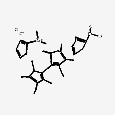 CC1=C(C)C(C)C(C2=C(C)C(C)=C(C)C2C)=C1C.[CH3][Zr+2]([CH3])[C]1=CC=CC1.[Cl-].[Cl-].[Cl][Zr]([Cl])[C]1=CC=CC1